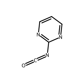 O=C=Nc1ncccn1